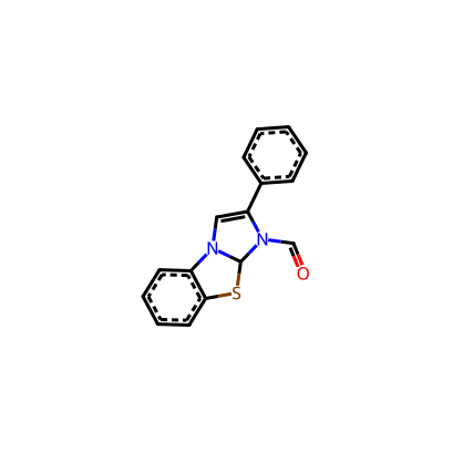 O=CN1C(c2ccccc2)=CN2c3ccccc3SC12